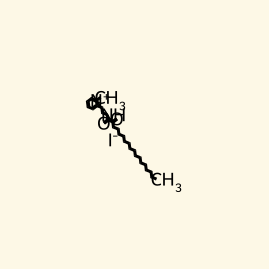 CCCCCCCCCCCCCCCCC(=O)C(=O)NCCc1cccc[n+]1C.[I-]